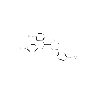 CSc1cccc([C@H](CC#N)NC(C)C(Cc2ccc(Cl)cc2)c2cccc(C#N)c2)c1